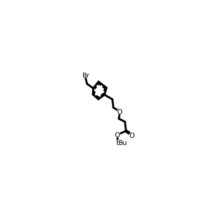 CC(C)(C)OC(=O)CCOCCc1ccc(CBr)cc1